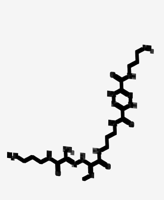 C/N=C(\N/N=C(\N)C(=O)NCCCN)C(=O)NCCCNC(=O)C1=NNC(C(=O)NCCCN)=NN1